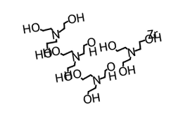 OCCN(CCO)CCO.OCCN(CCO)CCO.OCCN(CCO)CCO.OCCN(CCO)CCO.[Zr]